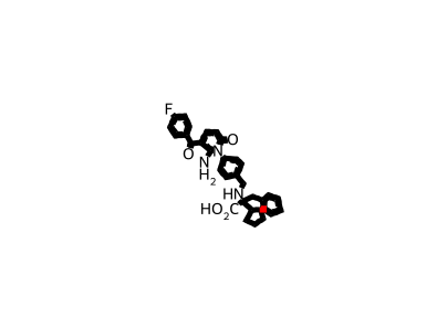 Nc1c(C(=O)c2ccc(F)cc2)ccc(=O)n1-c1ccc(CNC(Cc2ccccc2)(C(=O)O)C2CCCC2)cc1